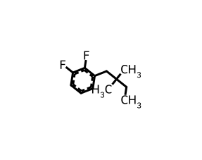 CCC(C)(C)Cc1cccc(F)c1F